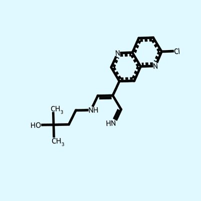 CC(C)(O)CCN/C=C(\C=N)c1cnc2ccc(Cl)nc2c1